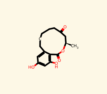 C[C@@H]1CC(=O)CCCCCc2cc(O)cc(O)c2C(=O)O1